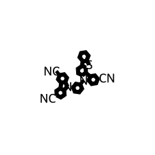 N#Cc1ccc2c(c1)c1cc(C#N)ccc1n2-c1cccc(-n2c3ccc(C#N)cc3c3c4sc5ccccc5c4ccc32)c1